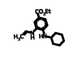 C=CNc1cc(C(=O)OCC)ccc1NC1CCCCC1